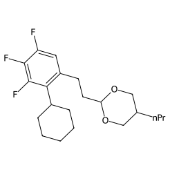 CCCC1COC(CCc2cc(F)c(F)c(F)c2C2CCCCC2)OC1